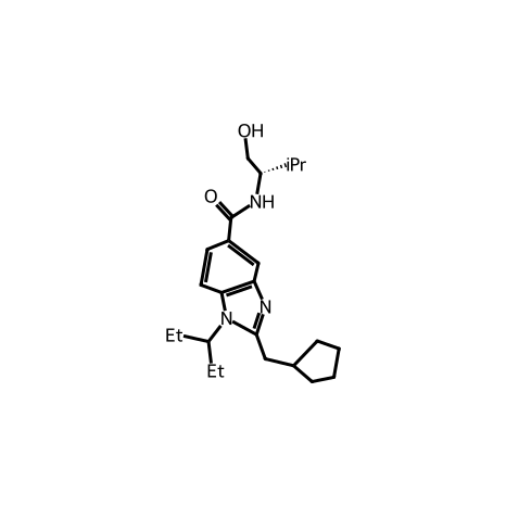 CCC(CC)n1c(CC2CCCC2)nc2cc(C(=O)N[C@H](CO)C(C)C)ccc21